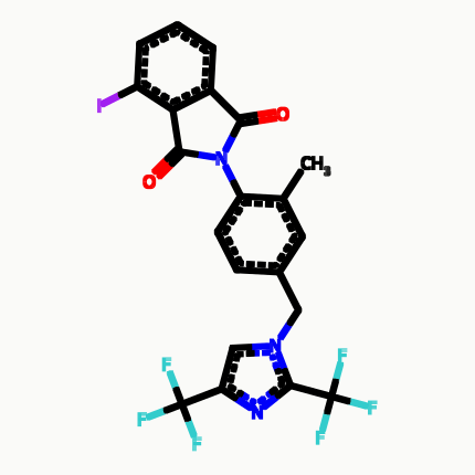 Cc1cc(Cn2cc(C(F)(F)F)nc2C(F)(F)F)ccc1N1C(=O)c2cccc(I)c2C1=O